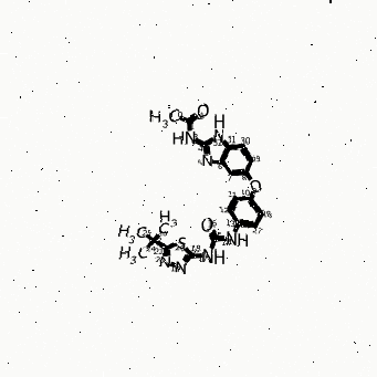 CC(=O)Nc1nc2cc(Oc3ccc(NC(=O)Nc4nnc(C(C)(C)C)s4)cc3)ccc2[nH]1